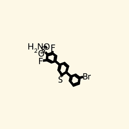 NS(=O)(=O)c1c(F)cc(C2=CC(=S)C(c3cccc(Br)c3)C=C2)cc1F